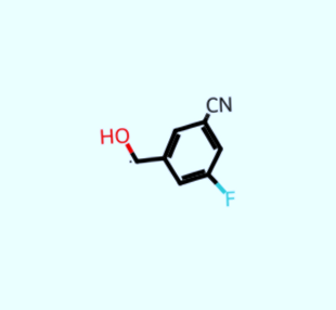 N#Cc1cc(F)cc([CH]O)c1